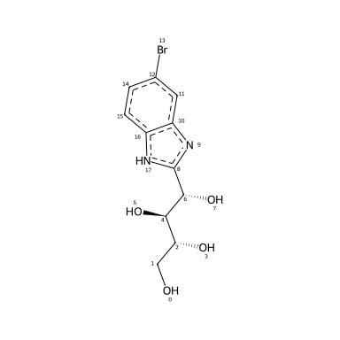 OC[C@@H](O)[C@@H](O)[C@@H](O)c1nc2cc(Br)ccc2[nH]1